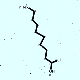 CCCCCCCCCCCCCCC(O)Cl